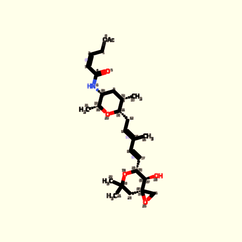 CC(=O)OC/C=C\C(=O)N[C@@H]1C[C@H](C)[C@H](C/C=C(C)/C=C/[C@H]2OC(C)(C)C[C@@]3(CO3)[C@@H]2O)O[C@@H]1C